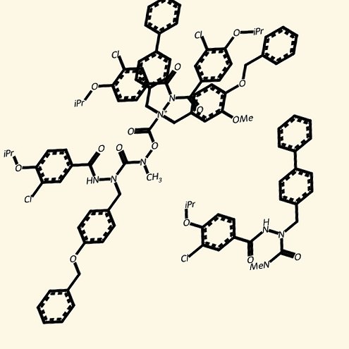 CNC(=O)N(Cc1ccc(-c2ccccc2)cc1)NC(=O)c1ccc(OC(C)C)c(Cl)c1.COc1cc(C[N+](Cc2ccc(-c3ccccc3)cc2)(C(=O)ON(C)C(=O)N(Cc2ccc(OCc3ccccc3)cc2)NC(=O)c2ccc(OC(C)C)c(Cl)c2)N(C(=O)c2ccc(OC(C)C)c(Cl)c2)C(=O)c2ccc(OC(C)C)c(Cl)c2)ccc1OCc1ccccc1